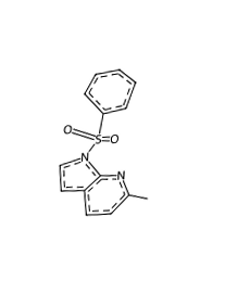 Cc1ccc2ccn(S(=O)(=O)c3ccccc3)c2n1